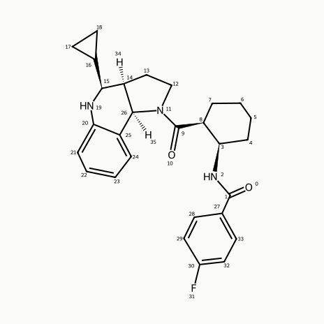 O=C(N[C@@H]1CCCC[C@@H]1C(=O)N1CC[C@@H]2[C@H](C3CC3)Nc3ccccc3[C@@H]21)c1ccc(F)cc1